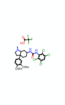 COc1ccc(C23CCC(NC(=O)Nc4c(Cl)c(Cl)cc(Cl)c4Cl)CC2N(C)CC3)cc1OC.O=C(O)C(F)(F)F